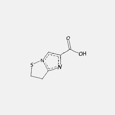 O=C(O)c1cn2c(n1)CCS2